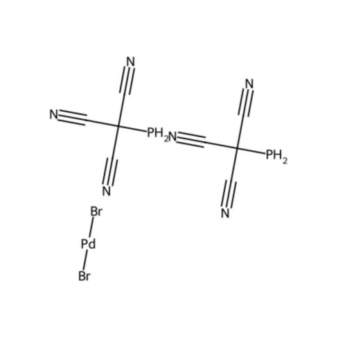 N#CC(P)(C#N)C#N.N#CC(P)(C#N)C#N.[Br][Pd][Br]